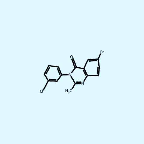 Cc1nc2ccc(Br)cc2c(=O)n1-c1cccc(Cl)c1